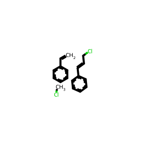 C=Cc1ccccc1.CCl.ClCC=Cc1ccccc1